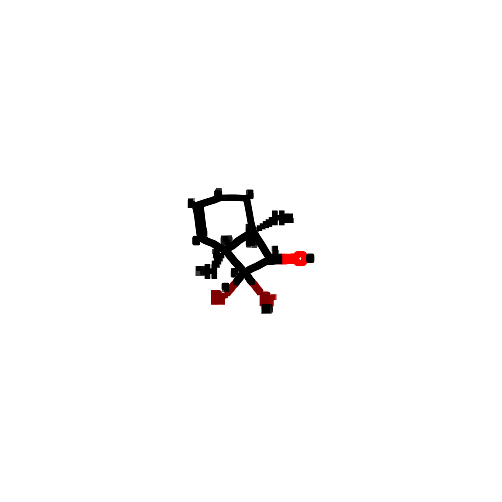 O=C1[C@@H]2CCC=C[C@@H]2C1(Br)Br